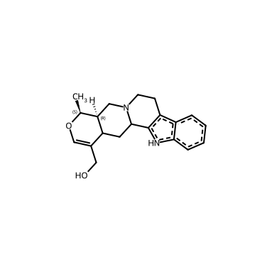 C[C@@H]1OC=C(CO)C2CC3c4[nH]c5ccccc5c4CCN3C[C@@H]21